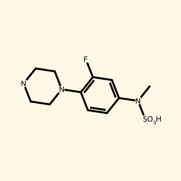 CN(c1ccc(N2CC[N]CC2)c(F)c1)S(=O)(=O)O